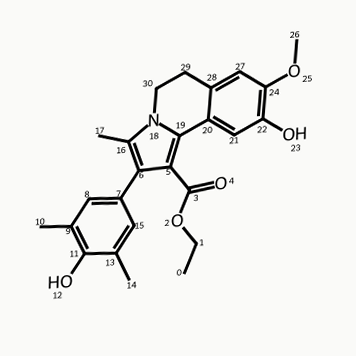 CCOC(=O)c1c(-c2cc(C)c(O)c(C)c2)c(C)n2c1-c1cc(O)c(OC)cc1CC2